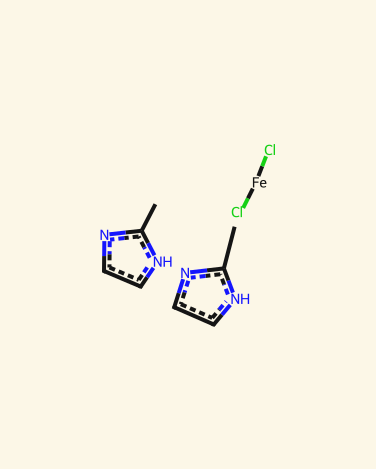 Cc1ncc[nH]1.Cc1ncc[nH]1.[Cl][Fe][Cl]